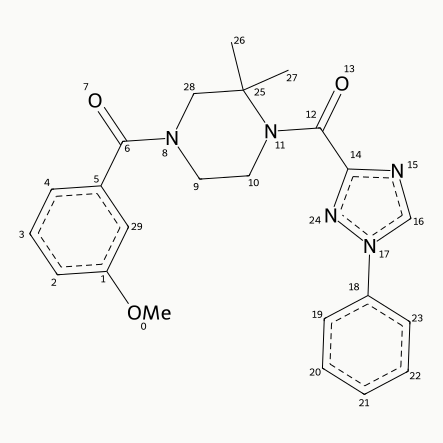 COc1cccc(C(=O)N2CCN(C(=O)c3ncn(-c4ccccc4)n3)C(C)(C)C2)c1